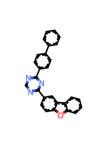 c1ccc(-c2ccc(-c3ncnc(-c4ccc5oc6ccccc6c5c4)n3)cc2)cc1